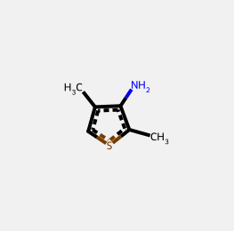 Cc1csc(C)c1N